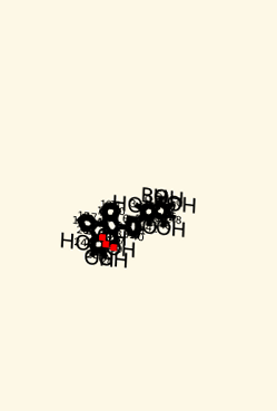 Bc1c(O)c2c3cc(C4c5ccccc5C(c5ccccc5-c5c(O)c(O)c(O)c(O)c5O)=C5C=CC=CC54)ccc3oc2c2c(O)c(C)c(O)c(O)c12